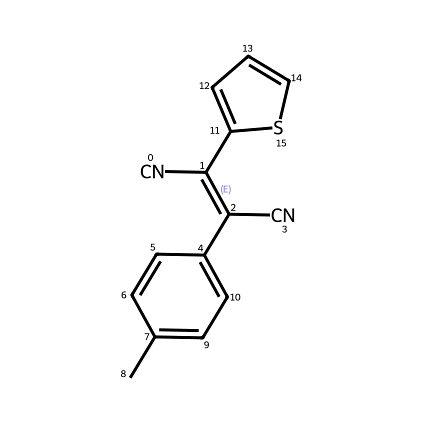 [C-]#[N+]/C(=C(/C#N)c1ccc(C)cc1)c1cccs1